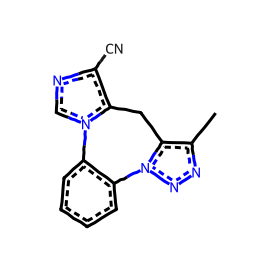 Cc1nnn2c1Cc1c(C#N)ncn1-c1ccccc1-2